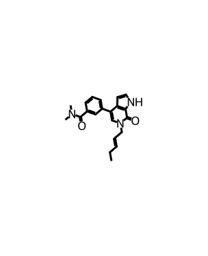 CC/C=C/Cn1cc(-c2cccc(C(=O)N(C)C)c2)c2cc[nH]c2c1=O